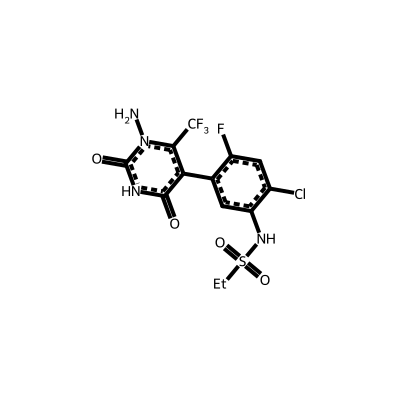 CCS(=O)(=O)Nc1cc(-c2c(C(F)(F)F)n(N)c(=O)[nH]c2=O)c(F)cc1Cl